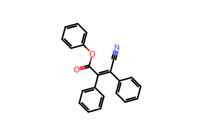 N#CC(=C(C(=O)Oc1ccccc1)c1ccccc1)c1ccccc1